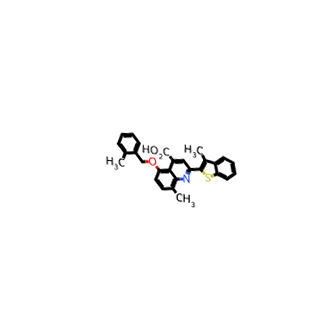 Cc1ccccc1COc1ccc(C)c2nc(-c3sc4ccccc4c3C)cc(C(=O)O)c12